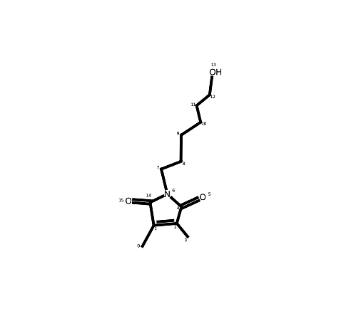 CC1=C(C)C(=O)N(CCCCCCO)C1=O